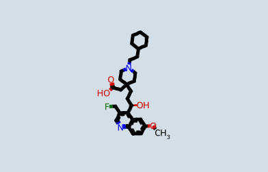 COc1ccc2ncc(CF)c([C@H](O)CCC3(CC(=O)O)CCN(CCC4CCCCC4)CC3)c2c1